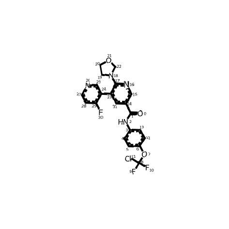 O=C(Nc1ccc(OC(F)(F)Cl)cc1)c1cnc(N2CCOC2)c(-c2cnccc2F)c1